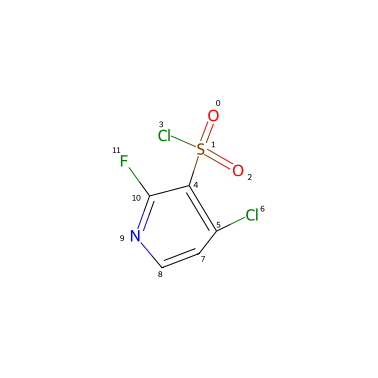 O=S(=O)(Cl)c1c(Cl)ccnc1F